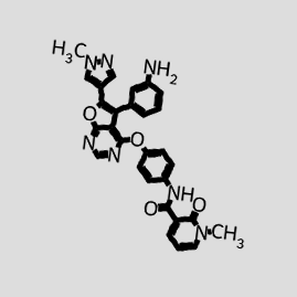 Cn1cc(-c2oc3ncnc(Oc4ccc(NC(=O)c5cccn(C)c5=O)cc4)c3c2-c2cccc(N)c2)cn1